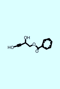 O=C(OCC(O)C#CO)c1ccccc1